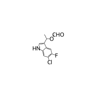 CC(OC=O)c1c[nH]c2cc(Cl)c(F)cc12